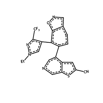 CCn1cc(-c2c(-c3cncc4sc(C#N)cc34)ccc3cnoc23)c(C(F)(F)F)n1